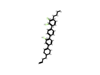 C=CCCC1CC=C(c2ccc(-c3ccc(-c4ccc(CCCC)c(F)c4F)cc3)c(F)c2)CC1